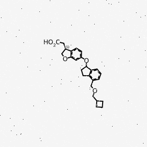 O=C(O)C[C@@H]1COc2cc(OC3CCc4c(COCC5CCC5)cccc43)ccc21